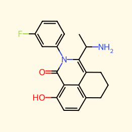 CC(N)c1c2c3c(ccc(O)c3c(=O)n1-c1cccc(F)c1)CCC2